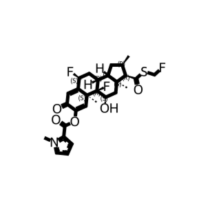 C[C@@H]1C[C@H]2[C@H]3C[C@H](F)C4=CC(=O)C(OC(=O)c5cccn5C)=C[C@]4(C)[C@@]3(F)[C@@H](O)C[C@]2(C)[C@@H]1C(=O)SCF